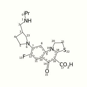 CC(C)NCC1CCN(c2cc3c(cc2F)c(=O)c(C(=O)O)c2n3CCS2)C1